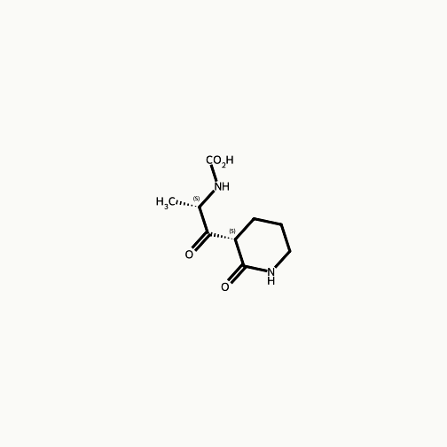 C[C@H](NC(=O)O)C(=O)[C@@H]1CCCNC1=O